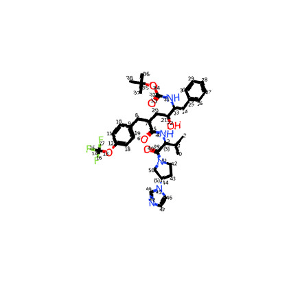 CC(C)[C@H](NC(=O)C(Cc1ccc(OC(F)(F)F)cc1)CC(O)C(Cc1ccccc1)NC(=O)OC(C)(C)C)C(=O)N1CC[C@H](n2ccnc2)C1